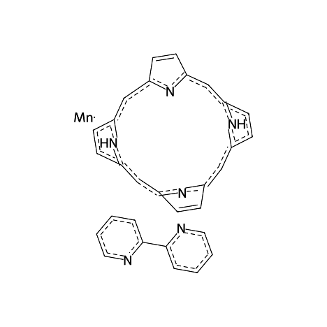 C1=Cc2cc3ccc(cc4nc(cc5ccc(cc1n2)[nH]5)C=C4)[nH]3.[Mn].c1ccc(-c2ccccn2)nc1